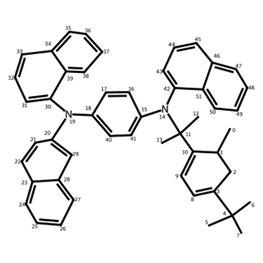 CC1CC(C(C)(C)C)=CC=C1C(C)(C)N(c1ccc(N(c2ccc3ccccc3c2)c2cccc3ccccc23)cc1)c1cccc2ccccc12